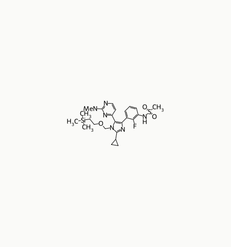 CNc1nccc(-c2c(-c3cccc(NS(C)(=O)=O)c3F)nc(C3CC3)n2COCC[Si](C)(C)C)n1